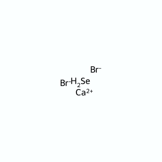 [Br-].[Br-].[Ca+2].[SeH2]